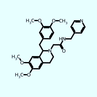 COc1ccc(CC2c3cc(OC)c(OC)cc3CCN2CC(=O)NCc2ccncc2)cc1OC